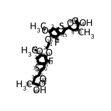 COc1cc2sc(C(=O)CC(C)C(=O)O)cc2c(F)c1OCCOc1c(OC)cc2sc(C(=O)CC(C)C(=O)O)cc2c1F